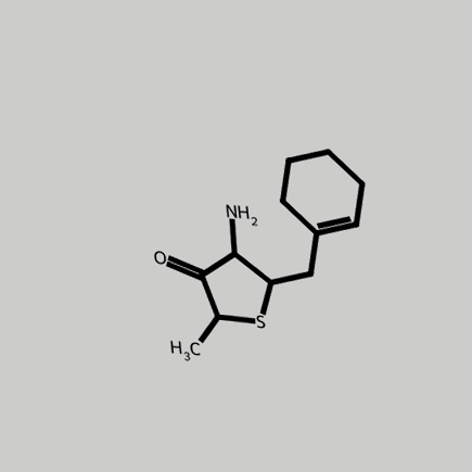 CC1SC(CC2=CCCCC2)C(N)C1=O